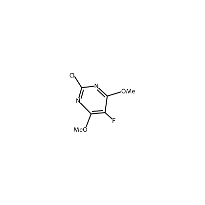 COc1nc(Cl)nc(OC)c1F